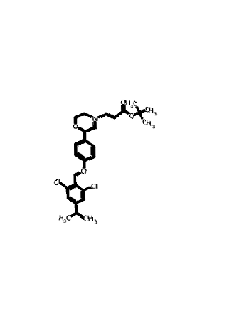 CC(C)c1cc(Cl)c(COc2ccc(C3CN(CCC(=O)OC(C)(C)C)CCO3)cc2)c(Cl)c1